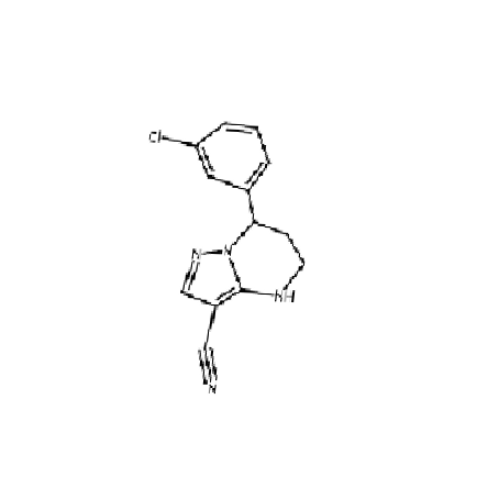 N#Cc1cnn2c1NCCC2c1cccc(Cl)c1